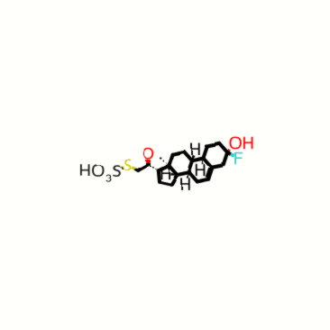 C[C@]12CC[C@H]3[C@@H](CC=C4C[C@@](O)(F)CC[C@@H]43)[C@@H]1CC[C@@H]2C(=O)CSS(=O)(=O)O